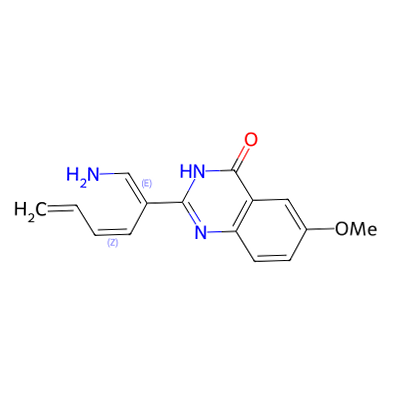 C=C/C=C\C(=C/N)c1nc2ccc(OC)cc2c(=O)[nH]1